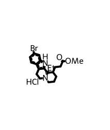 CC[C@]12c3[nH]c4cc(Br)ccc4c3CCN1CCCC2CCC(=O)OC.Cl